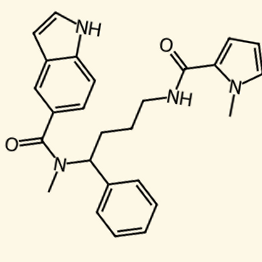 CN(C(=O)c1ccc2[nH]ccc2c1)C(CCCNC(=O)c1cccn1C)c1ccccc1